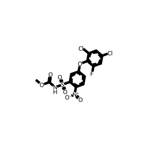 COC(=O)NS(=O)(=O)c1cc(Oc2c(F)cc(Cl)cc2Cl)ccc1[N+](=O)[O-]